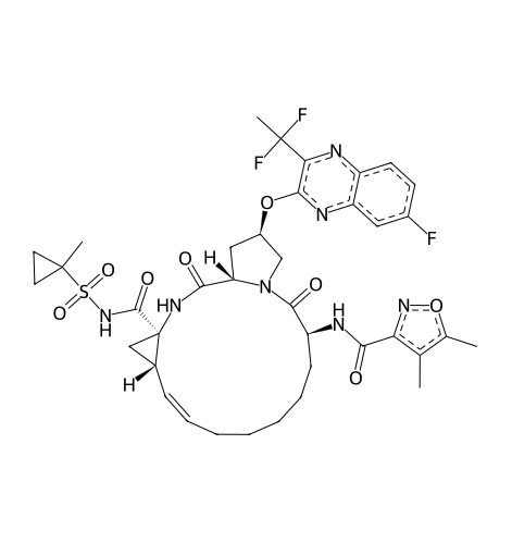 Cc1onc(C(=O)N[C@H]2CCCCC/C=C\[C@@H]3C[C@@]3(C(=O)NS(=O)(=O)C3(C)CC3)NC(=O)[C@@H]3C[C@@H](Oc4nc5cc(F)ccc5nc4C(C)(F)F)CN3C2=O)c1C